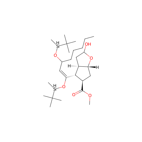 CCCCCC(C=C(O[SiH](C)C(C)(C)C)[C@@H]1[C@H]2CC(O)O[C@@H]2C[C@H]1C(=O)OC)O[SiH](C)C(C)(C)C